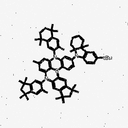 Cc1cc2c3c(c1)N(c1cc4c(cc1C)C(C)(C)CC4(C)C)c1cc4c(cc1B3c1ccc(N3c5ccc(C(C)(C)C)cc5C5(C)CCCCC35C)cc1N2c1cc2c(cc1C)C(C)(C)CCC2(C)C)C(C)(C)CC4(C)C